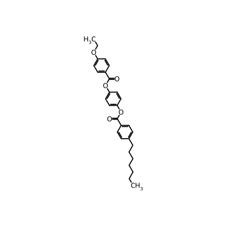 CCCCCCCc1ccc(C(=O)Oc2ccc(OC(=O)c3ccc(OCC)cc3)cc2)cc1